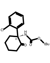 CC(C)(C)OC(=O)N[C@@]1(c2ccccc2Cl)CCCCC1=O